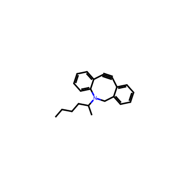 CCCCC(C)N1Cc2ccccc2C#Cc2ccccc21